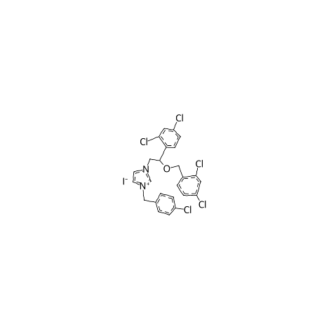 Clc1ccc(C[n+]2ccn(CC(OCc3ccc(Cl)cc3Cl)c3ccc(Cl)cc3Cl)c2)cc1.[I-]